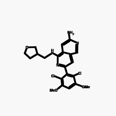 COc1cc(OC)c(Cl)c(-c2cc3cnc(N)cc3c(NCC3CCOC3)n2)c1Cl